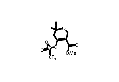 COC(=O)C1=C(OS(=O)(=O)C(F)(F)F)CC(C)(C)OC1